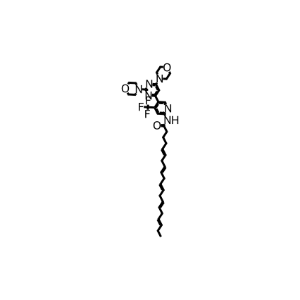 CCC=CCC=CCC=CCC=CCC=CCCCC(=O)Nc1cc(C(F)(F)F)c(-c2cc(N3CCOCC3)nc(N3CCOCC3)n2)cn1